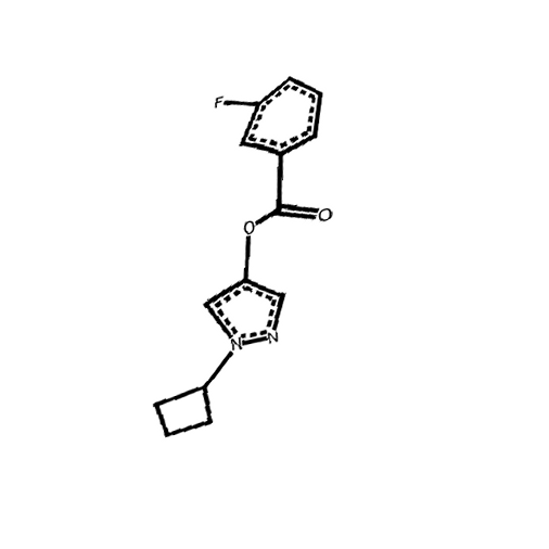 O=C(Oc1cnn(C2CCC2)c1)c1cccc(F)c1